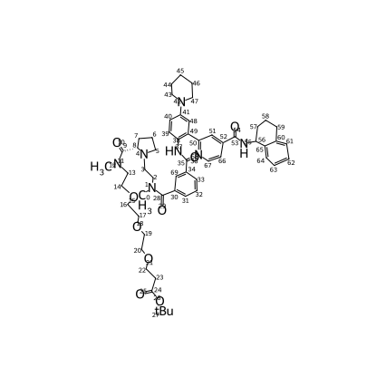 CN(CCN1CCC[C@H]1C(=O)N(C)CCOCCOCCOCCC(=O)OC(C)(C)C)C(=O)c1cccc(C(=O)Nc2ccc(N3CCCCC3)cc2-c2cc(C(=O)NC3CCCc4ccccc43)ccn2)c1